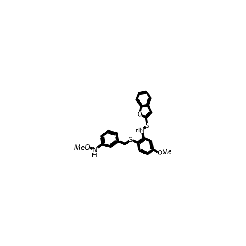 CONc1cccc(CSc2ccc(OC)cc2NSc2cc3ccccc3o2)c1